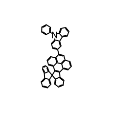 c1ccc(-n2c3ccccc3c3cc(-c4cc5cccc6c7c(c8cccc4c8c56)C4(c5ccccc5-c5ccccc54)c4ccccc4-7)ccc32)cc1